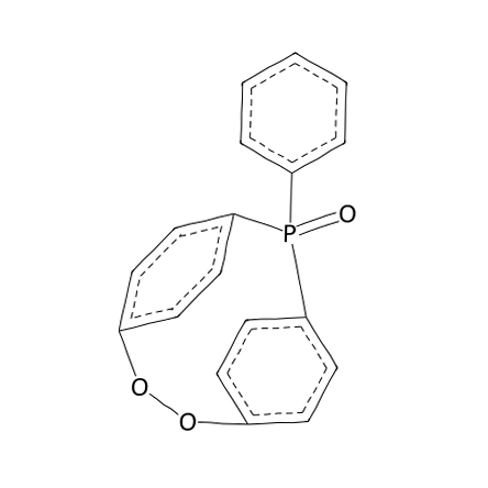 O=P1(c2ccccc2)c2ccc(cc2)OOc2ccc1cc2